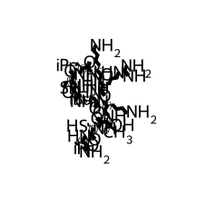 CC[C@H](C)[C@H](NC(=O)[C@H](CCCNC(=N)N)NC(=O)[C@H](CCCCN)NC(=O)[C@H](CC(C)C)NC(=O)[C@H](CS)NC(=O)CN)C(=O)N[C@@H](CCCCN)C(=O)N[C@H](C(=O)N[C@@H](CS)C(=O)N[C@@H](CC(C)C)C(N)=O)[C@@H](C)O